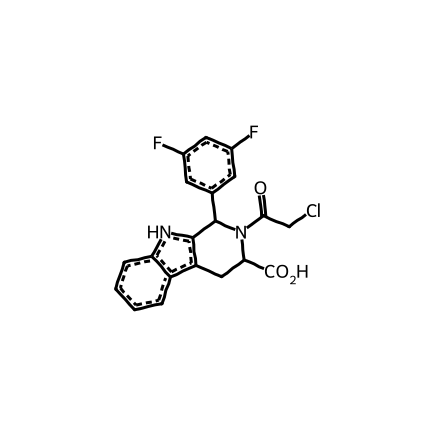 O=C(O)C1Cc2c([nH]c3ccccc23)C(c2cc(F)cc(F)c2)N1C(=O)CCl